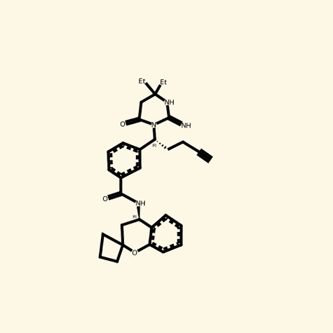 C#CCC[C@H](c1cccc(C(=O)N[C@@H]2CC3(CCC3)Oc3ccccc32)c1)N1C(=N)NC(CC)(CC)CC1=O